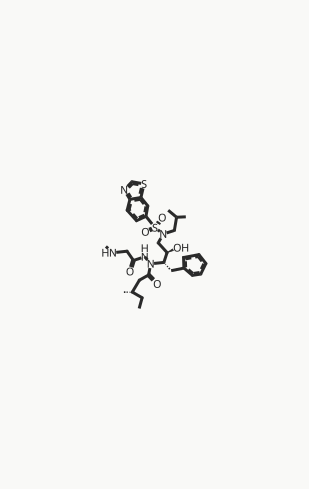 CC[C@H](C)CC(=O)N(NC(=O)CNC)[C@@H](Cc1ccccc1)[C@H](O)CN(CC(C)C)S(=O)(=O)c1ccc2ncsc2c1